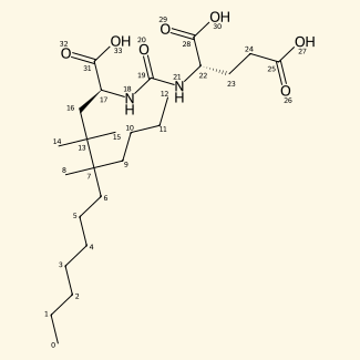 CCCCCCCC(C)(CCCC)C(C)(C)C[C@H](NC(=O)N[C@@H](CCC(=O)O)C(=O)O)C(=O)O